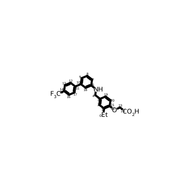 CCc1cc(CNc2cccc(-c3ccc(C(F)(F)F)cc3)c2)ccc1OCC(=O)O